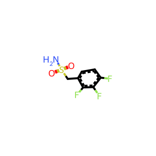 NS(=O)(=O)Cc1ccc(F)c(F)c1F